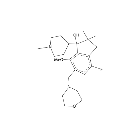 COc1c(CN2CCOCC2)cc(F)c2c1C(O)(C1CCN(C)CC1)C(C)(C)C2